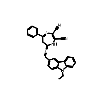 CCn1c2ccccc2c2cc(C=C=C3CC(c4ccccc4)=NC(C#N)=C(C#N)N3)ccc21